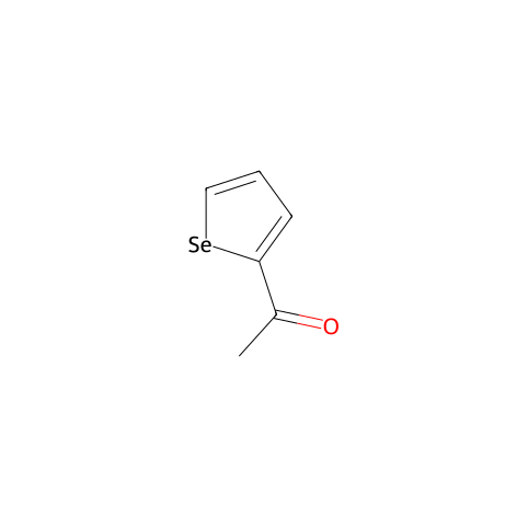 CC(=O)c1ccc[se]1